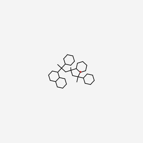 CC(C)(CC(C)(CC(C)(C1CCCCC1)C1CCCC2CCCCC21)C1CCCCC1)C1CCCCC1